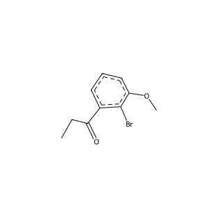 CCC(=O)c1cccc(OC)c1Br